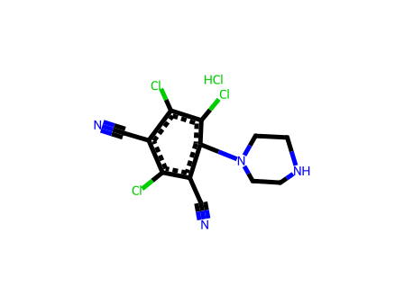 Cl.N#Cc1c(Cl)c(Cl)c(N2CCNCC2)c(C#N)c1Cl